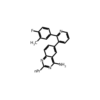 CCCc1nc(N)c2cc(-c3cccnc3-c3ccc(F)c(C)c3)ccc2n1